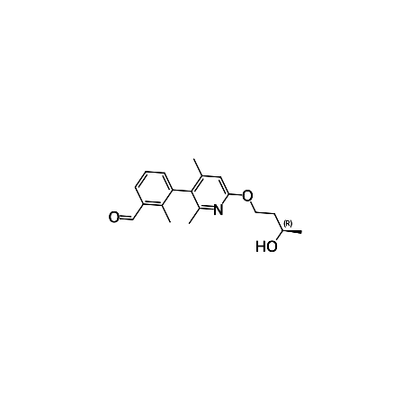 Cc1cc(OCC[C@@H](C)O)nc(C)c1-c1cccc(C=O)c1C